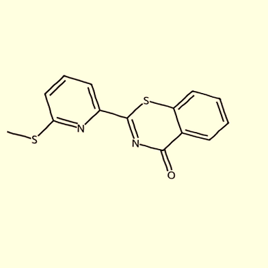 CSc1cccc(-c2nc(=O)c3ccccc3s2)n1